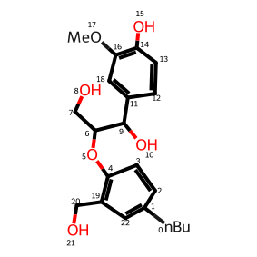 CCCCc1ccc(OC(CO)C(O)c2ccc(O)c(OC)c2)c(CO)c1